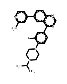 CC(C)N1CCN(c2ccc(-c3ncnc4ccc(-c5ccnc(N)c5)cc34)cc2F)CC1